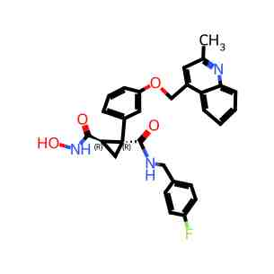 Cc1cc(COc2cccc([C@@]3(C(=O)NCc4ccc(F)cc4)C[C@H]3C(=O)NO)c2)c2ccccc2n1